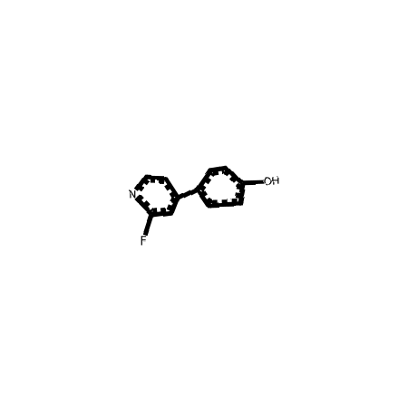 Oc1ccc(-c2ccnc(F)c2)cc1